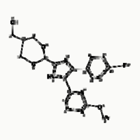 CCCOc1nccc(-c2[nH]c(C3OCC(CO)CO3)nc2-c2ccc(F)cc2)n1